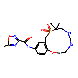 Cc1nc(C(=O)Nc2ccc3c(c2)CS(=O)(=O)C(C)(C)CNCNCCO3)no1